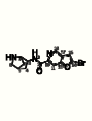 O=C(NC1CC2CNC1C2)c1cc2oc(Br)cc2cn1